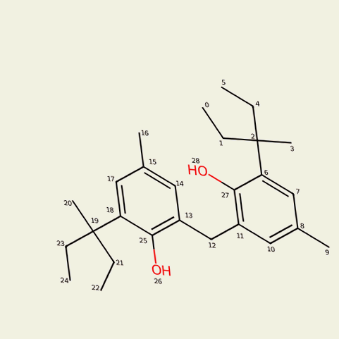 CCC(C)(CC)c1cc(C)cc(Cc2cc(C)cc(C(C)(CC)CC)c2O)c1O